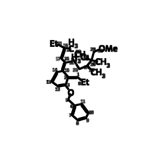 CC\C=c1/c(OCc2ccccc2)ccc/c1=C(\C=C(/C)CC)N(C)CC(C)C(C)(C)COC